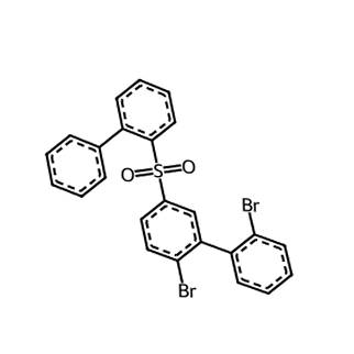 O=S(=O)(c1ccc(Br)c(-c2ccccc2Br)c1)c1ccccc1-c1ccccc1